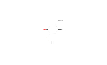 C=C1CC(SC)C(=O)CC1CC